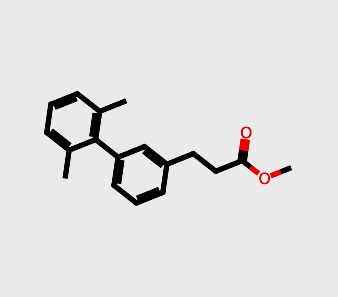 COC(=O)CCc1cccc(-c2c(C)cccc2C)c1